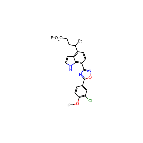 CCOC(=O)CCC(CC)c1ccc(-c2noc(-c3ccc(OC(C)C)c(Cl)c3)n2)c2[nH]ccc12